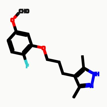 Cc1n[nH]c(C)c1CCCOc1cc(OC=O)ccc1F